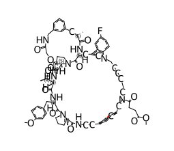 COC(=O)CCC(=O)N1CCCCCCn2cc(c3cc(F)ccc32)C[C@@H]2NC(=O)[C@@H](C)Cc3cccc(c3)CNC(=O)CO[C@H]3CCN(C2=O)[C@@H]3C(=O)N[C@@H]([C@@H](C)O)C(=O)N[C@@H](Cc2ccc(OC)cc2)C(=O)N2CCC[C@@]2(C)C(=O)NCCc2ccc(cc2)C1